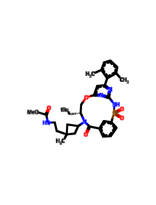 COC(=O)NCCC1(C)CC(N2C(=O)c3cccc(c3)S(=O)(=O)Nc3nc(cc(-c4c(C)cccc4C)n3)OC[C@H]2CC(C)(C)C)C1